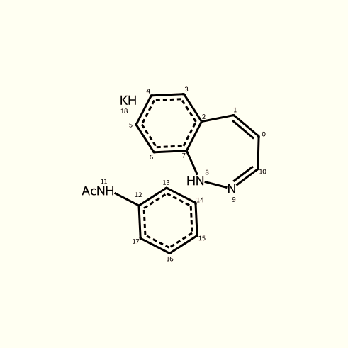 C1=Cc2ccccc2NN=C1.CC(=O)Nc1ccccc1.[KH]